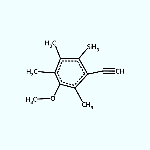 C#Cc1c(C)c(OC)c(C)c(C)c1[SiH3]